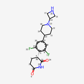 O=C1CC[C@H](c2c(F)cc(C3CCN(C4CNC4)CC3)cc2F)C(=O)N1